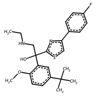 CCNCC(O)(c1nc(-c2ccc(F)cc2)cs1)c1cc(C(C)(C)C)ccc1OC